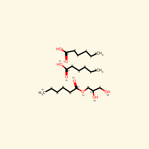 CCCCCC(=O)O.CCCCCC(=O)O.CCCCCC(=O)OCC(O)CO